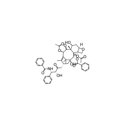 CC(=O)O[C@H]1C(=O)[C@@]2(C)[C@H]([C@H](OC(=O)c3ccccc3)[C@]3(O)C[C@H](CC(=O)[C@H](O)[C@@H](NC(=O)c4ccccc4)c4ccccc4)C(C)=C1C3(C)C)[C@]1(OC(C)=O)CO[C@@H]1C[C@@H]2O